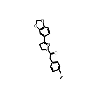 COc1ccc(CC(=O)N2CCC(c3ccc4c(c3)OCO4)=N2)cc1